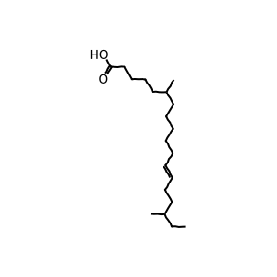 CCC(C)CCC=CCCCCCC(C)CCCCC(=O)O